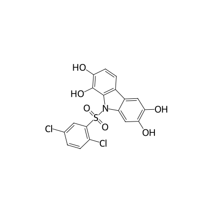 O=S(=O)(c1cc(Cl)ccc1Cl)n1c2cc(O)c(O)cc2c2ccc(O)c(O)c21